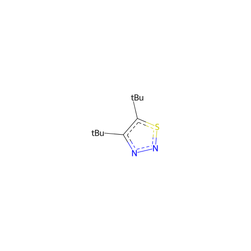 CC(C)(C)c1nnsc1C(C)(C)C